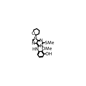 COc1c(O)cccc1Nc1nc(SC)nc2c1ncn2C1CCCCO1